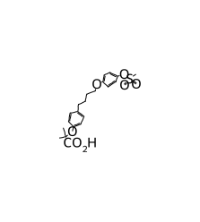 CC(C)(Oc1ccc(CCCCOc2ccc(OS(C)(=O)=O)cc2)cc1)C(=O)O